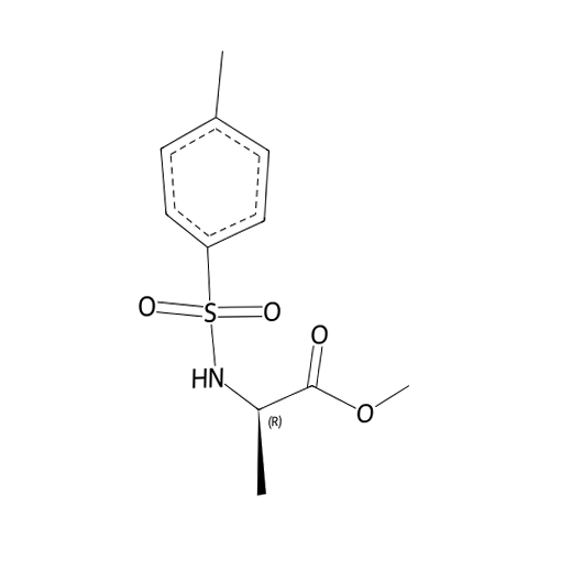 COC(=O)[C@@H](C)NS(=O)(=O)c1ccc(C)cc1